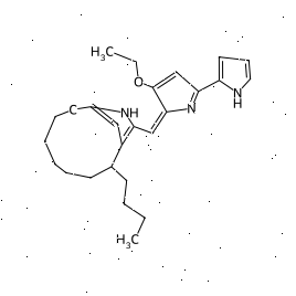 CCCCC1CCCCCCc2cc1c(/C=C1/N=C(c3ccc[nH]3)C=C1OCC)[nH]2